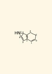 C1=CC2=C(CC1)C1NC1=C2